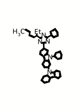 C/C=C\C=C/C(CC)c1nc(-c2ccccc2)nc(-c2ccc3c4ccc(-n5c6ccccc6c6ccccc65)cc4n(-c4ccccc4)c3c2)n1